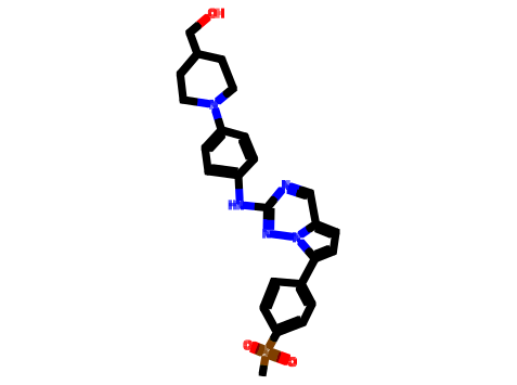 CS(=O)(=O)c1ccc(-c2ccc3cnc(Nc4ccc(N5CCC(CO)CC5)cc4)nn23)cc1